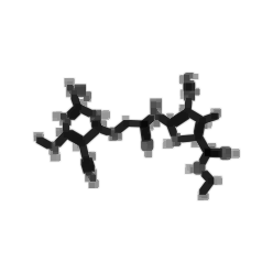 [C-]#[N+]c1c(NC(=O)CSc2nc(N)nc(SC)c2C#N)sc(C(=O)OCC)c1C